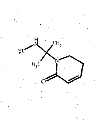 CCNC(C)(C)N1CCC=CC1=O